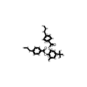 CCCc1ccc(C(=O)Oc2c(C)cc(C(C)(C)C)cc2SC(=O)c2ccc(CCC)cc2)cc1